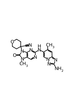 Cc1cc2nc(N)nn2cc1Nc1ncc2c(n1)n(C1(C#N)CCOCC1)c(=O)n2C